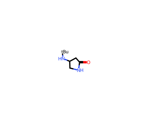 CC(C)(C)NC1CNC(=O)C1